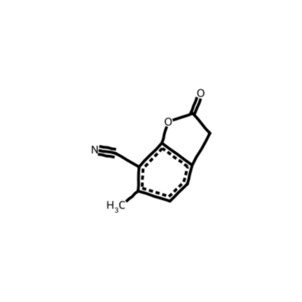 Cc1ccc2c(c1C#N)OC(=O)C2